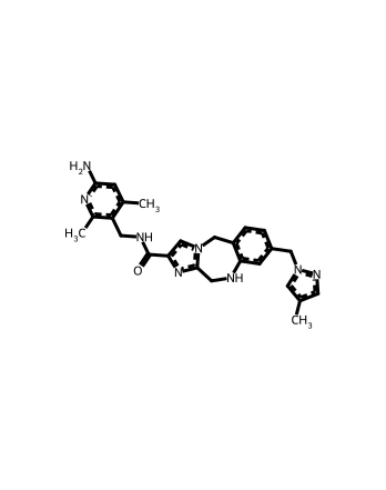 Cc1cnn(Cc2ccc3c(c2)NCc2nc(C(=O)NCc4c(C)cc(N)nc4C)cn2C3)c1